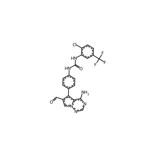 Nc1ncnn2cc(C=O)c(-c3ccc(NC(=O)Nc4cc(C(F)(F)F)ccc4Cl)cc3)c12